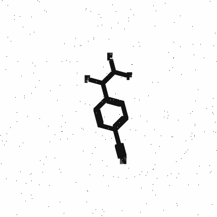 N#Cc1ccc(C(F)C(F)F)cc1